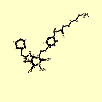 CCCn1c(=O)c2[nH]c(Cc3ccccc3)nc2n(CCc2ccc(NC(=O)CCCCCN)cc2)c1=O